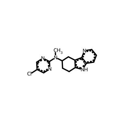 CN(c1ncc(Cl)cn1)C1CCc2[nH]c3cccnc3c2C1